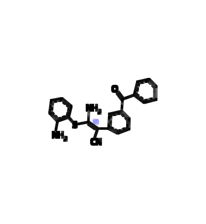 N#C/C(=C(/N)Sc1ccccc1N)c1cccc(C(=O)c2ccccc2)c1